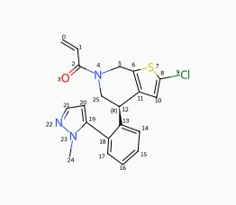 C=CC(=O)N1Cc2sc(Cl)cc2[C@@H](c2ccccc2-c2ccnn2C)C1